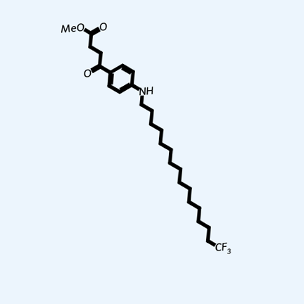 COC(=O)CCC(=O)c1ccc(NCCCCCCCCCCCCCCCC(F)(F)F)cc1